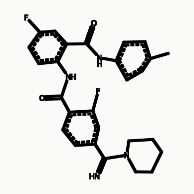 Cc1ccc(NC(=O)c2cc(F)ccc2NC(=O)c2ccc(C(=N)N3CCCCC3)cc2F)cc1